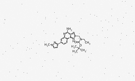 CCN(Cc1nc2c(N)nc3cc(-c4ccn(C)n4)ccc3c2[nH]1)C(=O)OC(C)(C)C